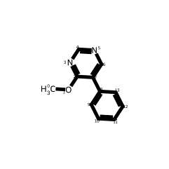 COc1ncncc1-c1cc[c]cc1